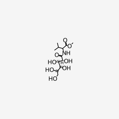 COC(=O)C(NC(=O)[C@H](O)[C@@H](O)[C@H](O)[C@H](O)CO)C(C)C